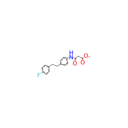 COC(=O)CC(=O)Nc1ccc(CCc2ccc(F)cc2)cc1